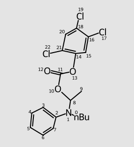 CCCCN(c1ccccc1)C(C)OC(=O)Oc1cc(Cl)c(Cl)cc1Cl